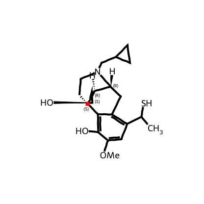 COc1cc(C(C)S)c2c(c1O)[C@]13CCN(CC4CC4)[C@H](C2)[C@@H]1CC[C@H](O)C3